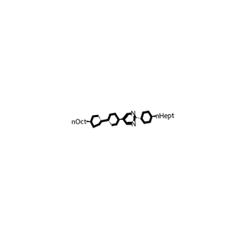 CCCCCCCC[C@H]1CC[C@H]([C@H]2CC[C@H](c3cnc([C@H]4CC[C@H](CCCCCCC)CC4)nc3)CC2)CC1